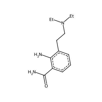 CCN(CC)CCc1cccc(C(N)=O)c1N